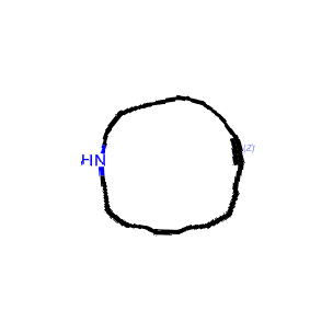 C1=C\CCCCCCNCCCCCCCC/1